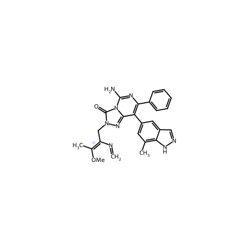 C=N/C(Cn1nc2c(-c3cc(C)c4[nH]ncc4c3)c(-c3ccccc3)nc(N)n2c1=O)=C(/C)OC